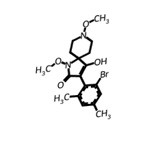 CON1CCC2(CC1)C(O)=C(c1c(C)cc(C)cc1Br)C(=O)N2OC